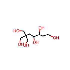 OCCC(O)C(O)CC(CO)(CO)CO